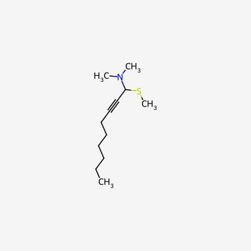 CCCCCCC#CC(SC)N(C)C